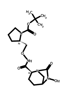 CC(C)(C)OC(=O)N1CCC[C@H]1CONC(=O)[C@@H]1CCC2CN1C(=O)N2O